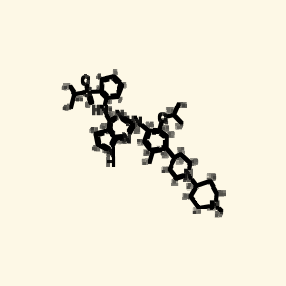 C=S(=O)(c1ccccc1Nc1nc(Nc2cc(C)c(C3CCN(C4CCN(C)CC4)CC3)cc2OC(C)C)nc2[nH]ccc12)C(C)C